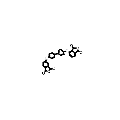 O=C1OC(=O)c2cc(Oc3ccc(-c4ccc(Oc5cccc6c5C(=O)OC6=O)cc4)cc3)ccc21